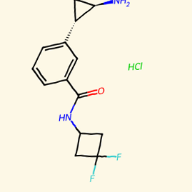 Cl.N[C@@H]1C[C@H]1c1cccc(C(=O)NC2CC(F)(F)C2)c1